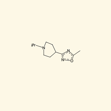 Cc1nc(C2CCN(C(C)C)CC2)no1